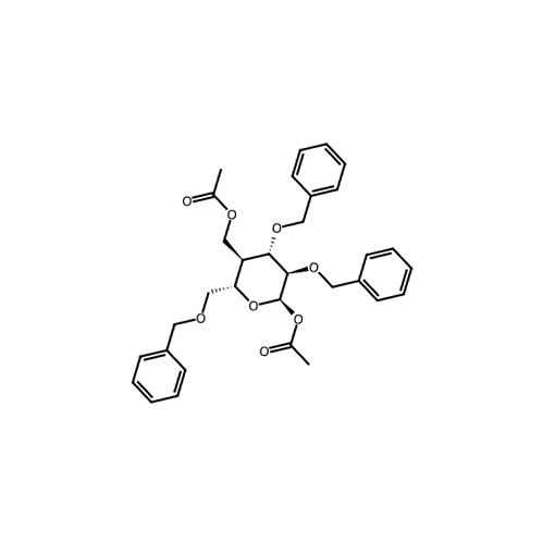 CC(=O)OC[C@H]1[C@H](OCc2ccccc2)[C@@H](OCc2ccccc2)[C@@H](OC(C)=O)O[C@@H]1COCc1ccccc1